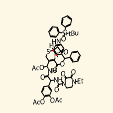 CCN1CCN(C(=O)NC(C(=O)NC(OC(C)=O)C2=C(C(=O)OC(c3ccccc3)c3ccccc3)N3C(=O)[C@@H](NO[Si](c4ccccc4)(c4ccccc4)C(C)(C)C)[C@H]3SC2)c2ccc(OC(C)=O)c(OC(C)=O)c2)C(=O)C1=O